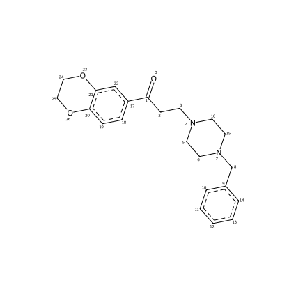 O=C(CCN1CCN(Cc2ccccc2)CC1)c1ccc2c(c1)OCCO2